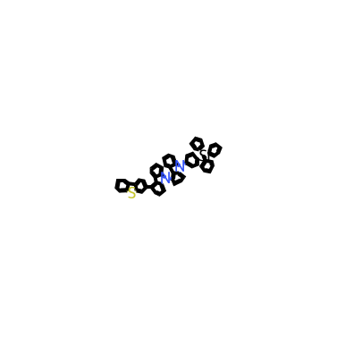 c1ccc([Si](c2ccccc2)(c2ccccc2)c2ccc(-n3c4ccccc4c4c(-n5c6ccccc6c6c(-c7ccc8c(c7)sc7ccccc78)cccc65)cccc43)cc2)cc1